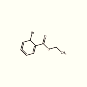 CCOC(=O)C1=CC=C=CC1Br